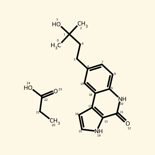 CC(C)(O)CCc1ccc2[nH]c(=O)c3[nH]ccc3c2c1.CCC(=O)O